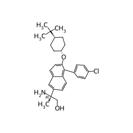 CC(C)(C)[C@H]1CC[C@H](Oc2ccc3cc([C@@](C)(N)CO)ccc3c2-c2ccc(Cl)cc2)CC1